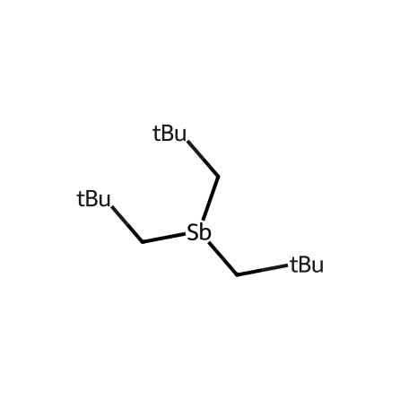 CC(C)(C)[CH2][Sb]([CH2]C(C)(C)C)[CH2]C(C)(C)C